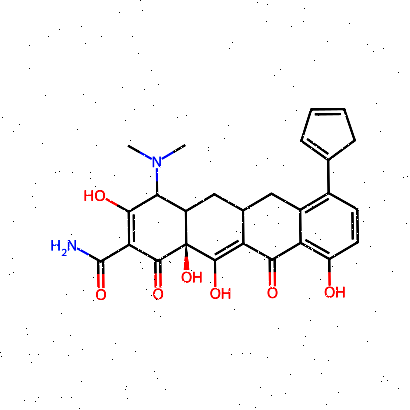 CN(C)C1C(O)=C(C(N)=O)C(=O)[C@@]2(O)C(O)=C3C(=O)c4c(O)ccc(C5=CC=CC5)c4CC3CC12